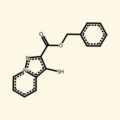 O=C(OCc1ccccc1)c1nn2ccccc2c1S